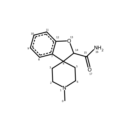 CN1CCC2(CC1)c1ccccc1OC2C(N)=O